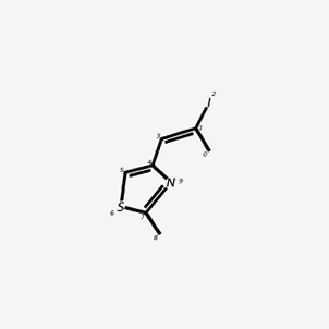 C/C(I)=C\c1csc(C)n1